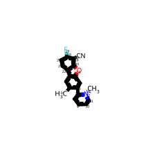 Cc1cc2c(cc1-c1cccc[n+]1C)oc1c(C#N)c(F)ccc12